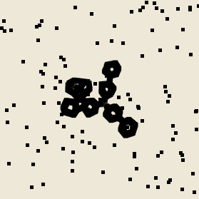 c1ccc(-c2ccc(N(c3ccc(-c4ccccc4)cc3)c3ccc4c(c3)C3(c5ccccc5-4)C4CC5CC6CC3C4(C5)C6)cc2)cc1